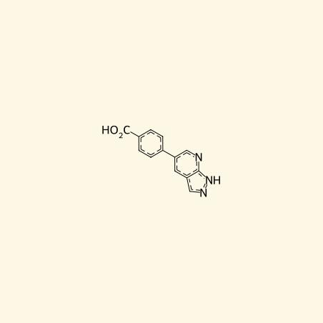 O=C(O)c1ccc(-c2cnc3[nH]ncc3c2)cc1